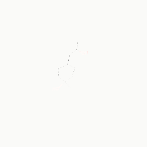 CC(O)CC1CCC(C)(O)CC1